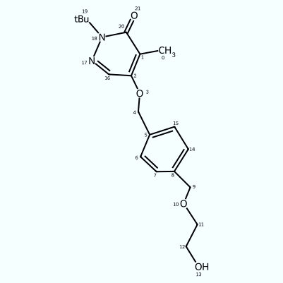 Cc1c(OCc2ccc(COCCO)cc2)cnn(C(C)(C)C)c1=O